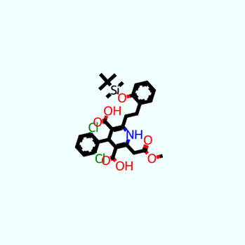 COC(=O)CC1=C(C(=O)O)C(c2c(Cl)cccc2Cl)C(C(=O)O)=C(CCc2ccccc2O[Si](C)(C)C(C)(C)C)N1